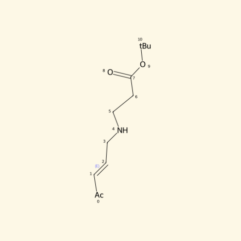 CC(=O)/C=C/CNCCC(=O)OC(C)(C)C